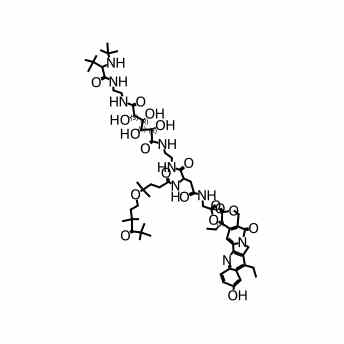 CCc1c2c(nc3ccc(O)cc13)-c1cc3c(c(=O)n1C2)COC(=O)[C@@]3(CC)OC(=O)CNC(=O)CC(NC(=O)CCC(C)(C)OCCC(C)(C)C(=O)C(C)(C)C)C(=O)NCCNC(=O)[C@H](O)[C@@H](O)[C@@H](O)[C@H](O)C(=O)NCCNC(=O)C(NC(C)(C)C)C(C)(C)C